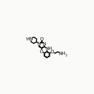 NCCOc1cccc2c1Nc1nc(=O)n(C3CCNCC3)cc1O2